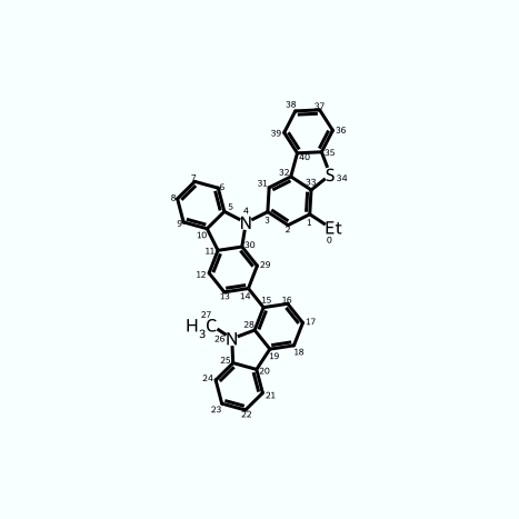 CCc1cc(-n2c3ccccc3c3ccc(-c4cccc5c6ccccc6n(C)c45)cc32)cc2c1sc1ccccc12